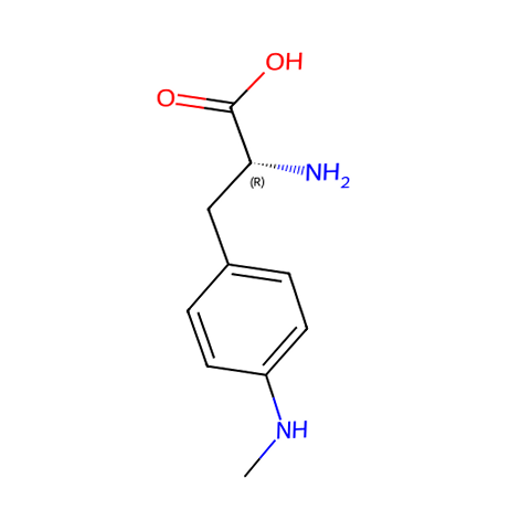 CNc1ccc(C[C@@H](N)C(=O)O)cc1